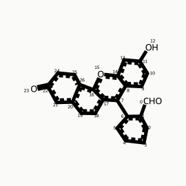 O=Cc1ccccc1-c1c2ccc(O)cc2oc2c1ccc1cc(=O)ccc12